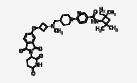 CN(CC1CCN(c2ccc(C(=O)NC3C(C)(C)CC3(C)C)cn2)CC1)[C@H]1C[C@H](Oc2ccc3c(c2)C(=O)N(C2CCC(=O)NC2=O)C3=O)C1